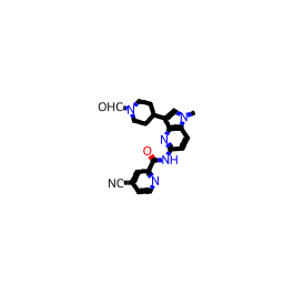 Cn1cc(C2CCN(C=O)CC2)c2nc(NC(=O)c3cc(C#N)ccn3)ccc21